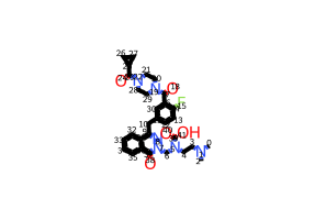 CN(C)CCN(Cn1nc(Cc2ccc(F)c(C(=O)N3CCN(C(=O)C4CC4)CC3)c2)c2ccccc2c1=O)C(=O)O